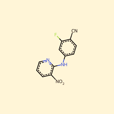 N#Cc1ccc(Nc2ncccc2[N+](=O)[O-])cc1F